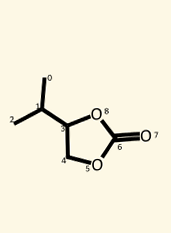 CC(C)C1COC(=O)O1